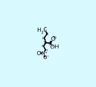 CCCC(CC[N+](=O)[O-])C(=O)O